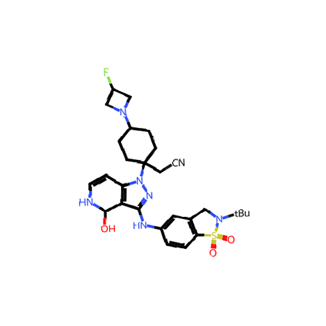 CC(C)(C)N1Cc2cc(Nc3nn(C4(CC#N)CCC(N5CC(F)C5)CC4)c4c3C(O)NC=C4)ccc2S1(=O)=O